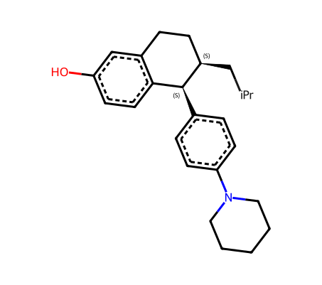 CC(C)C[C@@H]1CCc2cc(O)ccc2[C@@H]1c1ccc(N2CCCCC2)cc1